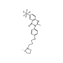 Cc1nc2ccc(S(F)(F)(F)(F)F)cc2c(=O)n1-c1ccc(OCCCN2CCC[C@@H]2C)cc1